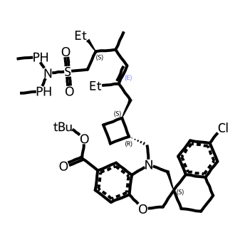 CC/C(=C\C(C)[C@H](CC)CS(=O)(=O)N(PC)PC)C[C@@H]1CC[C@H]1CN1C[C@@]2(CCCc3cc(Cl)ccc32)COc2ccc(C(=O)OC(C)(C)C)cc21